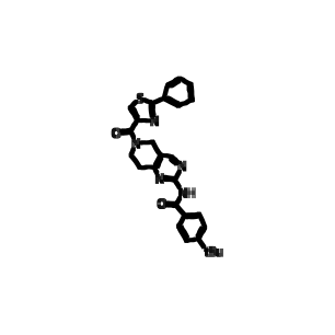 CC(C)(C)c1ccc(C(=O)Nc2ncc3c(n2)CCN(C(=O)c2csc(-c4ccccc4)n2)C3)cc1